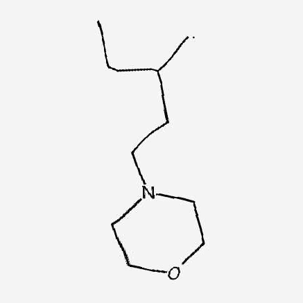 [CH2]C(CC)CCN1CCOCC1